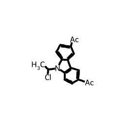 CC(=O)c1ccc2c(c1)c1cc(C(C)=O)ccc1n2C(C)Cl